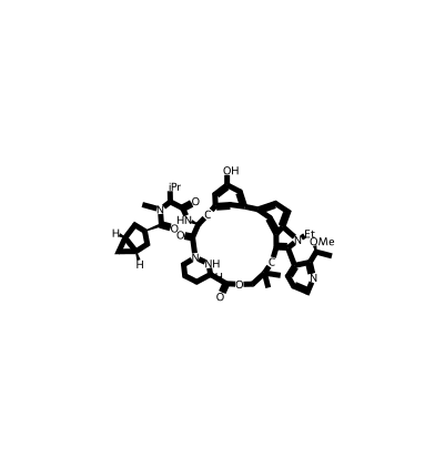 CCn1c(-c2cccnc2[C@H](C)OC)c2c3cc(ccc31)-c1cc(O)cc(c1)C[C@H](NC(=O)C(C(C)C)N(C)C(=O)[C@H]1C[C@@H]3C[C@@H]3C1)C(=O)N1CCC[C@H](N1)C(=O)OCC(C)(C)C2